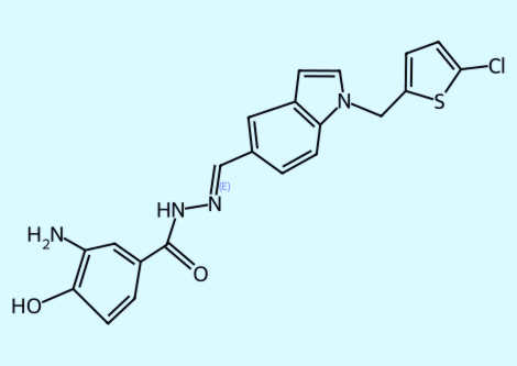 Nc1cc(C(=O)N/N=C/c2ccc3c(ccn3Cc3ccc(Cl)s3)c2)ccc1O